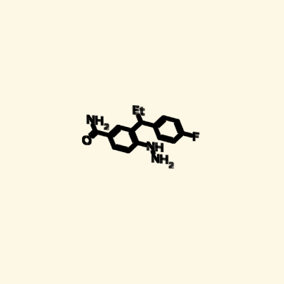 CCC(c1ccc(F)cc1)c1cc(C(N)=O)ccc1NN